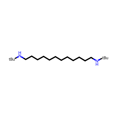 CC(C)(C)NCCCCCCCCCCCCNC(C)(C)C